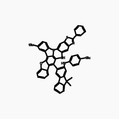 CC(C)(C)c1ccc(Nc2cc3c(cc2-c2c4c5c(c6cc(C(C)(C)C)ccc6n5-c5cc6sc(-c7ccccc7)nc6cc5B4)c4oc5ccccc5c24)-c2ccccc2C3(C)C)cc1